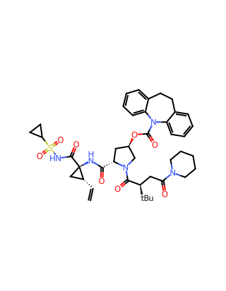 C=C[C@@H]1C[C@]1(NC(=O)[C@@H]1C[C@@H](OC(=O)N2c3ccccc3CCc3ccccc32)CN1C(=O)[C@@H](CC(=O)N1CCCCC1)C(C)(C)C)C(=O)NS(=O)(=O)C1CC1